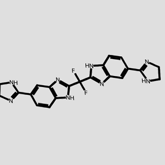 FC(F)(c1nc2cc(C3=NCCN3)ccc2[nH]1)c1nc2cc(C3=NCCN3)ccc2[nH]1